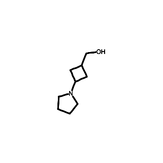 OCC1CC(N2CCCC2)C1